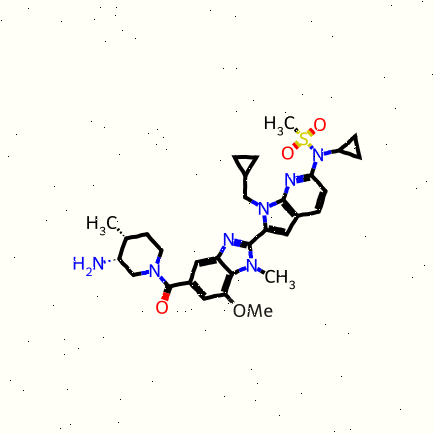 COc1cc(C(=O)N2CC[C@@H](C)[C@@H](N)C2)cc2nc(-c3cc4ccc(N(C5CC5)S(C)(=O)=O)nc4n3CC3CC3)n(C)c12